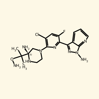 CC(C)(ON)[C@]1(N)CN(c2nc(-c3nn(N)c4ncccc34)c(F)cc2Cl)CCN1